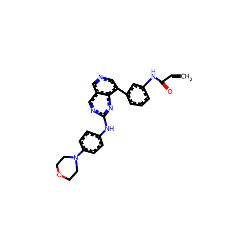 C=CC(=O)Nc1cccc(-c2cncc3cnc(Nc4ccc(N5CCOCC5)cc4)nc23)c1